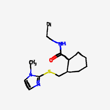 Cn1ccnc1SCC1CCCCC1C(=O)NCC#N